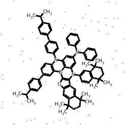 CC(C)c1ccc(-c2ccc(N3c4ccc(-c5ccc(C(C)C)cc5)cc4B4c5oc6cc7c(cc6c5N(c5ccc6c(c5)C(C)(C)CCC6(C)C)c5cc(N(c6ccccc6)c6ccccc6)cc3c54)C(C)(C)CCC7(C)C)cc2)cc1